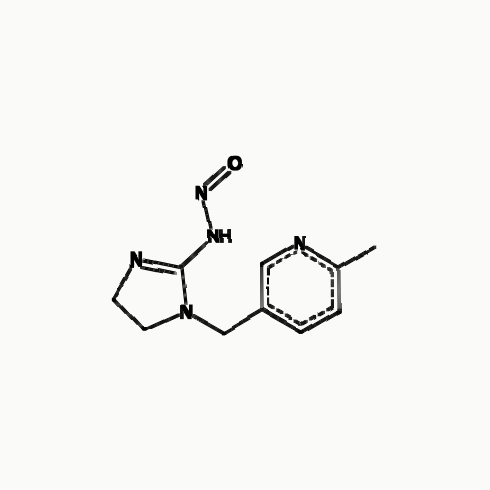 Cc1ccc(CN2CCN=C2NN=O)cn1